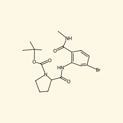 CNC(=O)c1ccc(Br)cc1NC(=O)C1CCCN1C(=O)OC(C)(C)C